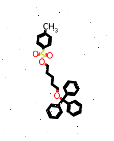 Cc1ccc(S(=O)(=O)OCCCCCOC(c2ccccc2)(c2ccccc2)c2ccccc2)cc1